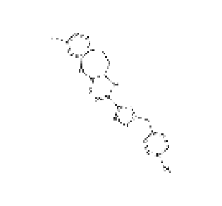 Cc1ccc(Cc2nnc(C(=O)NC3CCc4ccc(Cl)cc4NC3=O)[nH]2)cc1